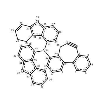 C1#Cc2ccccc2-c2cccc(N(c3cccc4oc5c(c34)CCC=C5)c3cccc4oc5ccccc5c34)c2C1